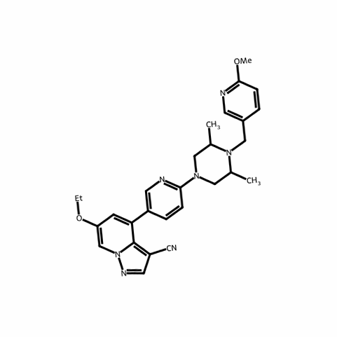 CCOc1cc(-c2ccc(N3CC(C)N(Cc4ccc(OC)nc4)C(C)C3)nc2)c2c(C#N)cnn2c1